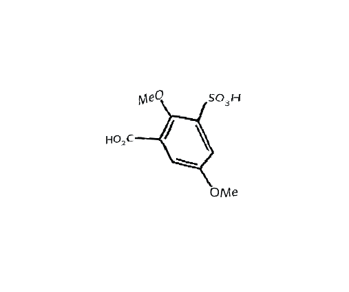 COc1cc(C(=O)O)c(OC)c(S(=O)(=O)O)c1